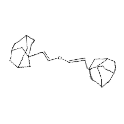 C(=CC12CC3CC(CC(C3)C1)C2)OC=CC12CC3CC(CC(C3)C1)C2